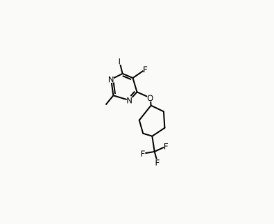 Cc1nc(I)c(F)c(OC2CCC(C(F)(F)F)CC2)n1